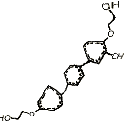 Cc1cc(-c2ccc(-c3ccc(OCCO)cc3)cc2)ccc1OCCO